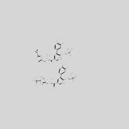 Cc1cc(-c2cc(C(=O)NCc3csc(C4CC4)n3)cnc2OCC(F)(F)F)ccc1Cl.Cc1cc(-c2cc(C(=O)NCc3nc(C(F)(F)F)no3)cnc2OCC(F)(F)F)ccc1Cl